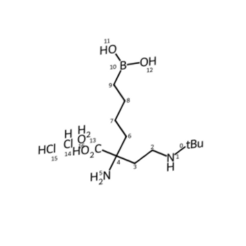 CC(C)(C)NCCC(N)(CCCCB(O)O)C(=O)O.Cl.Cl.O